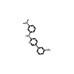 CC(=O)c1cccc(-c2ccc(Nc3cccc(N(C)C)c3)nc2)c1